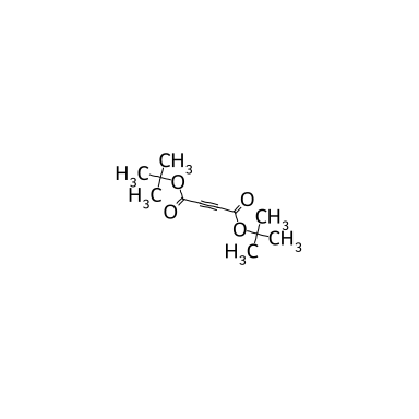 CC(C)(C)OC(=O)C#CC(=O)OC(C)(C)C